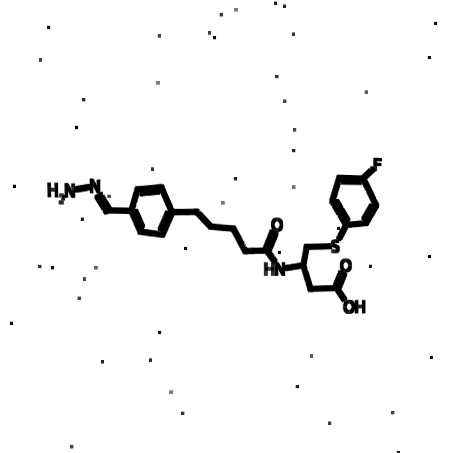 NN=Cc1ccc(CCCCC(=O)NC(CSc2ccc(F)cc2)CC(=O)O)cc1